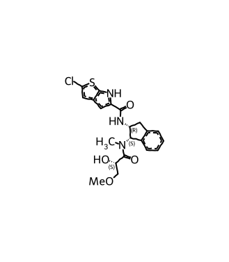 COC[C@H](O)C(=O)N(C)[C@H]1c2ccccc2C[C@H]1NC(=O)c1cc2cc(Cl)sc2[nH]1